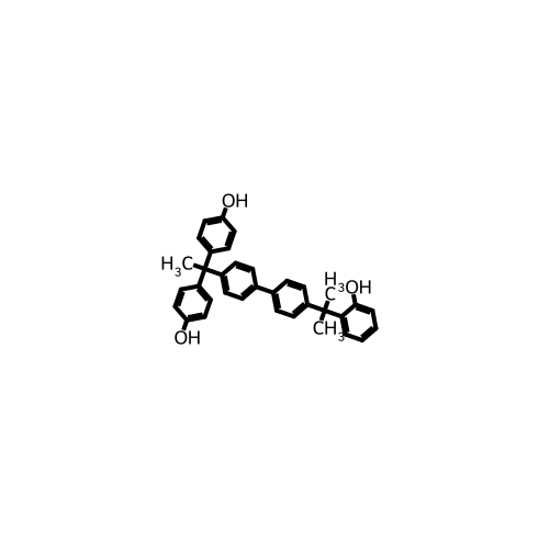 CC(C)(c1ccc(-c2ccc(C(C)(c3ccc(O)cc3)c3ccc(O)cc3)cc2)cc1)c1ccccc1O